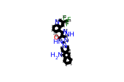 N[C@@H]1c2ccccc2CC12CCN(c1nc3[nH]nc(C4=CCCc5ncc(C(F)(F)F)cc54)c3c(=O)[nH]1)CC2